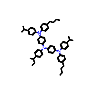 CCCCc1ccc(N(c2ccc(C(C)C)cc2)c2ccc(N(c3ccc(C(C)CC)cc3)c3ccc(N(c4ccc(CCCC)cc4)c4ccc(C(C)C)cc4)cc3)cc2)cc1